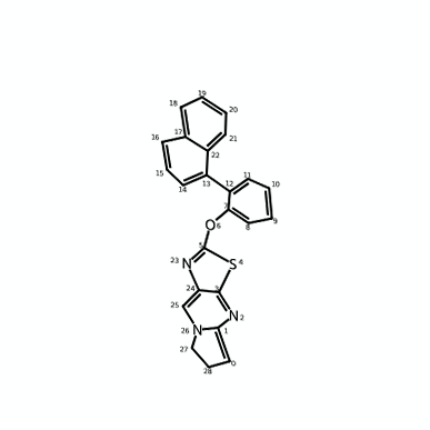 C1=C2N=c3sc(Oc4ccccc4-c4cccc5ccccc45)nc3=CN2CC1